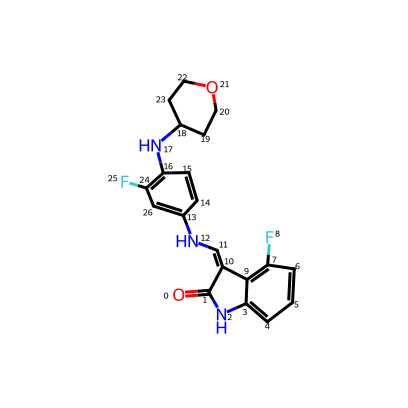 O=C1Nc2cccc(F)c2C1=CNc1ccc(NC2CCOCC2)c(F)c1